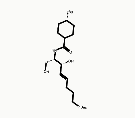 CCCCCCCCCCCCC/C=C/[C@@H](O)[C@H](CO)NC(=O)[C@H]1CC[C@H](C(C)(C)C)CC1